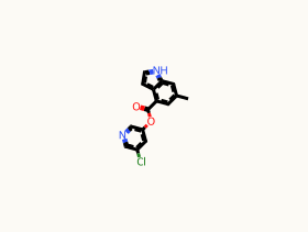 Cc1cc(C(=O)Oc2cncc(Cl)c2)c2cc[nH]c2c1